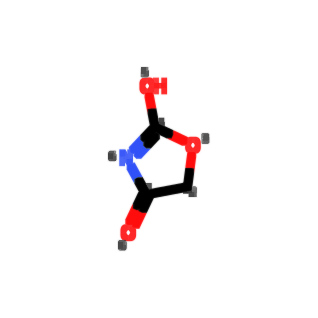 O=C1[C]OC(O)=N1